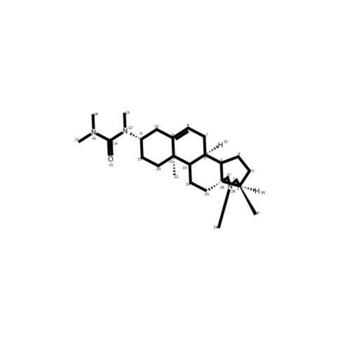 C[C@H]1[C@H]2CCC3[C@@H]4CC=C5C[C@@H](N(C)C(=O)N(C)C)CC[C@]5(C)C4CC[C@@]32CN1C